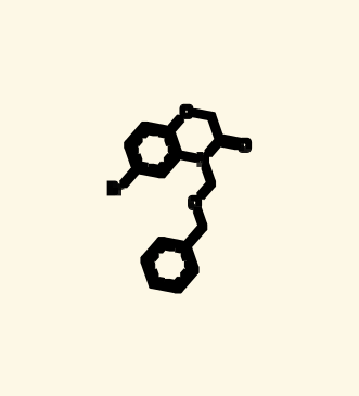 O=C1COc2ccc(Br)cc2N1COCc1ccccc1